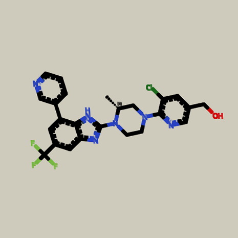 C[C@@H]1CN(c2ncc(CO)cc2Cl)CCN1c1nc2cc(C(F)(F)F)cc(-c3cccnc3)c2[nH]1